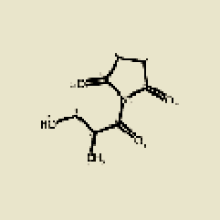 CC(CO)C(=O)N1C(=O)CCC1=O